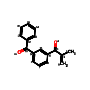 C=C(C)C(=O)c1[c]ccc(C(=O)c2ccccc2)c1